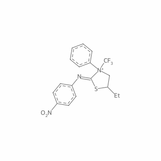 CCC1C[N+](c2ccccc2)(C(F)(F)F)C(=Nc2ccc([N+](=O)[O-])cc2)S1